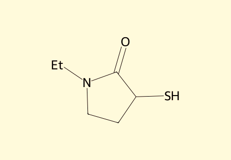 CCN1CCC(S)C1=O